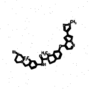 CCN1CCN(Cc2ccc(NC(=O)N3CCc4ccc(Oc5ccnn6cc(-c7cnn(C)c7)cc56)cc4[C@@H]3C)cc2C(F)(F)F)CC1